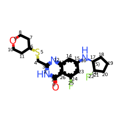 O=c1[nH]c(CSC2CCOCC2)nc2cc(N[C@H]3CCC[C@@H]3F)cc(F)c12